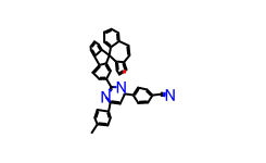 Cc1ccc(-c2cc(-c3ccc(C#N)cc3)nc(-c3ccc4c(c3)C3(c5ccccc5C=Cc5ccccc53)c3ccccc3-4)n2)cc1